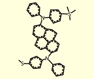 CSc1ccc(N(c2ccccc2)c2ccc3ccc4c(N(c5ccccc5)c5ccc(S(C)(C)C)cc5)ccc5ccc2c3c54)cc1